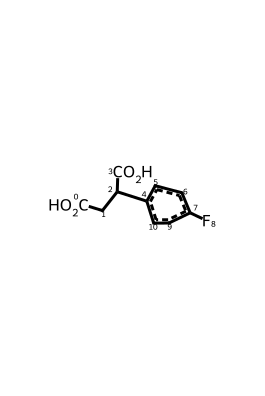 O=C(O)CC(C(=O)O)c1ccc(F)cc1